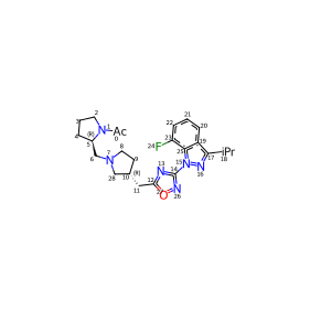 CC(=O)N1CCC[C@@H]1CN1CC[C@H](Cc2nc(-n3nc(C(C)C)c4cccc(F)c43)no2)C1